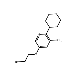 FC(F)(F)c1cc(OCCBr)cnc1C1CCCCC1